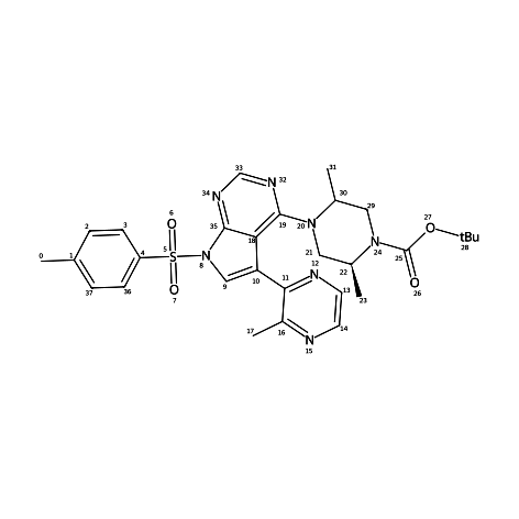 Cc1ccc(S(=O)(=O)n2cc(-c3nccnc3C)c3c(N4C[C@H](C)N(C(=O)OC(C)(C)C)CC4C)ncnc32)cc1